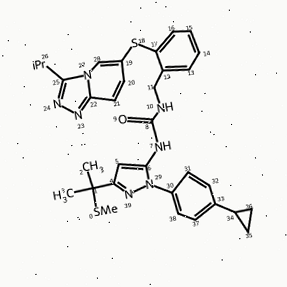 CSC(C)(C)c1cc(NC(=O)NCc2ccccc2Sc2ccc3nnc(C(C)C)n3c2)n(-c2ccc(C3CC3)cc2)n1